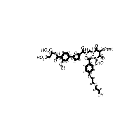 CCCCCC(C(=O)NCNC(=O)c1ccc(-c2ccc(C(=O)NC(CC(=O)O)C(=O)O)c(OCC)c2)o1)[C@@H](CC)N(C=O)OC(=O)c1ccc(OCCOCCO)cc1